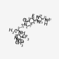 C[C@@H](CCCn1ccc2cc(-c3ncc(CNI)cn3)c(F)cc2c1=O)Nc1cnn(C)c(=O)c1C(F)(F)F